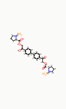 O=C(COC(=O)[C@H]1CCCN1P)c1ccc(-c2ccc(C(=O)COC(=O)[C@@H]3CCCN3P)cc2)cc1